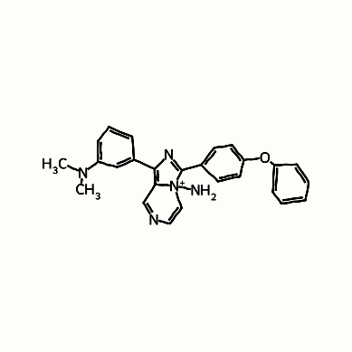 CN(C)c1cccc(C2=C3C=NC=C[N+]3(N)C(c3ccc(Oc4ccccc4)cc3)=N2)c1